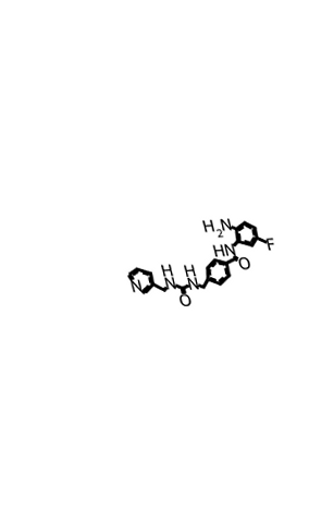 Nc1ccc(F)cc1NC(=O)c1ccc(CNC(=O)NCc2cccnc2)cc1